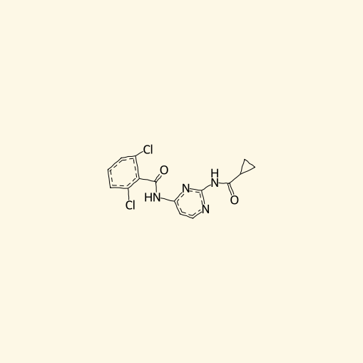 O=C(Nc1ccnc(NC(=O)C2CC2)n1)c1c(Cl)cccc1Cl